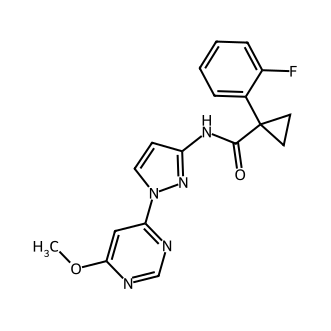 COc1cc(-n2ccc(NC(=O)C3(c4ccccc4F)CC3)n2)ncn1